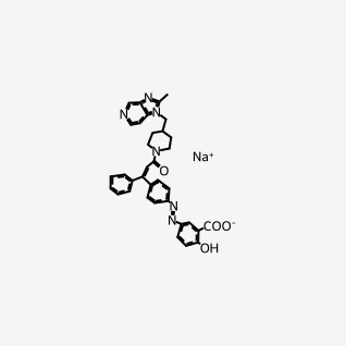 Cc1nc2cnccc2n1CC1CCN(C(=O)/C=C(/c2ccccc2)c2ccc(N=Nc3ccc(O)c(C(=O)[O-])c3)cc2)CC1.[Na+]